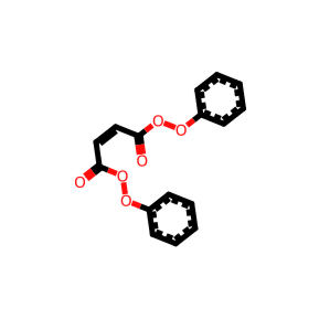 O=C(/C=C\C(=O)OOc1ccccc1)OOc1ccccc1